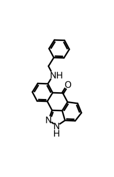 O=C1c2c(NCc3ccccc3)cccc2-c2n[nH]c3cccc1c23